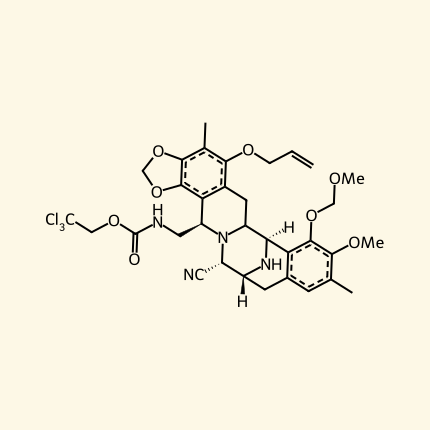 C=CCOc1c(C)c2c(c3c1CC1[C@@H]4N[C@H](Cc5cc(C)c(OC)c(OCOC)c54)[C@H](C#N)N1[C@H]3CNC(=O)OCC(Cl)(Cl)Cl)OCO2